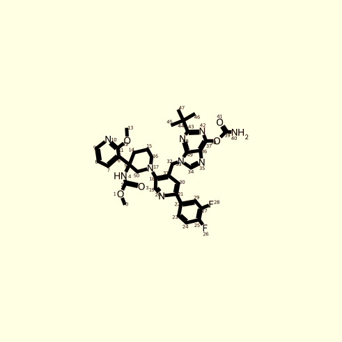 COC(=O)NC1(c2cccnc2OC)CCCN(c2cnc(-c3ccc(F)c(F)c3)cc2Cn2cnc3c(OC(N)=O)nc(C(C)(C)C)nc32)C1